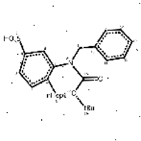 CCCCCCCc1ccc(S(=O)(=O)O)cc1N(Cc1ccccc1)C(=O)OC(C)(C)C